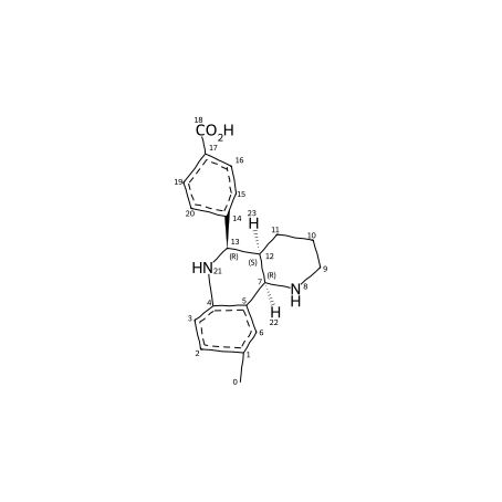 Cc1ccc2c(c1)[C@@H]1NCCC[C@@H]1[C@H](c1ccc(C(=O)O)cc1)N2